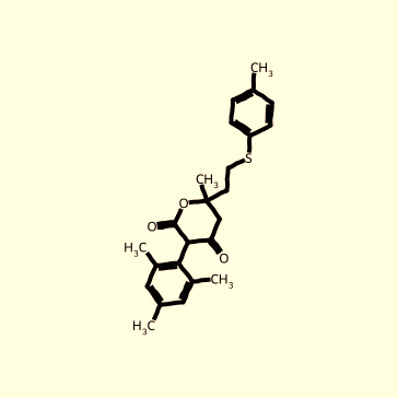 Cc1ccc(SCCC2(C)CC(=O)C(c3c(C)cc(C)cc3C)C(=O)O2)cc1